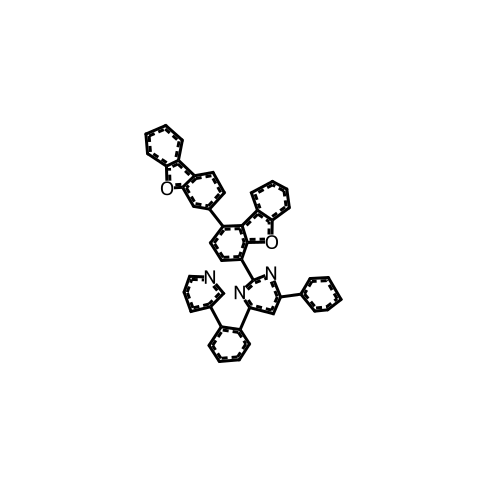 c1ccc(-c2cc(-c3ccccc3-c3cccnc3)nc(-c3ccc(-c4ccc5c(c4)oc4ccccc45)c4c3oc3ccccc34)n2)cc1